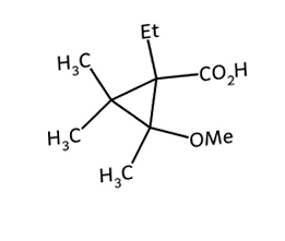 CCC1(C(=O)O)C(C)(C)C1(C)OC